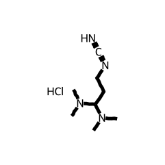 CN(C)C(CCN=C=N)N(C)C.Cl